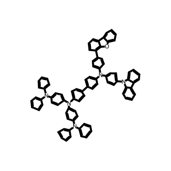 c1ccc(N(c2ccccc2)c2ccc(N(c3ccc(-c4ccc(N(c5ccc(-c6cccc7c6oc6ccccc67)cc5)c5ccc(-n6c7ccccc7c7ccccc76)cc5)cc4)cc3)c3ccc(N(c4ccccc4)c4ccccc4)cc3)cc2)cc1